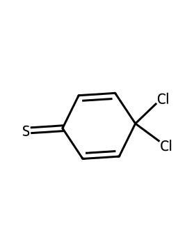 S=C1C=CC(Cl)(Cl)C=C1